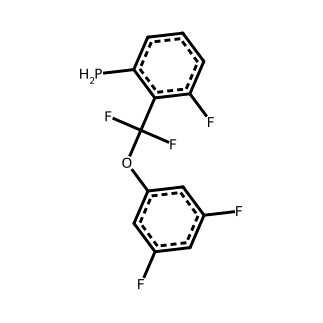 Fc1cc(F)cc(OC(F)(F)c2c(F)cccc2P)c1